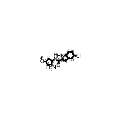 COC1CC(N)C(NC(=O)c2cc3cc(Cl)ccc3[nH]2)C1